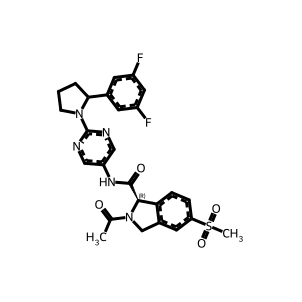 CC(=O)N1Cc2cc(S(C)(=O)=O)ccc2[C@@H]1C(=O)Nc1cnc(N2CCCC2c2cc(F)cc(F)c2)nc1